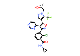 C[C@@H](O)Cn1ncc(-c2onc(-c3cccc(C(=O)NC4CC4)c3Cl)c2-c2ccncn2)c1C(F)(F)F